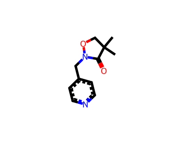 CC1(C)CON(Cc2ccncc2)C1=O